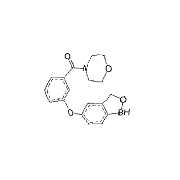 O=C(c1cccc(Oc2ccc3c(c2)COB3)c1)N1CCOCC1